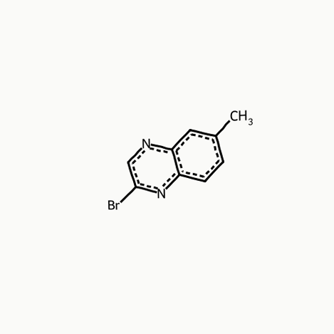 Cc1ccc2nc(Br)cnc2c1